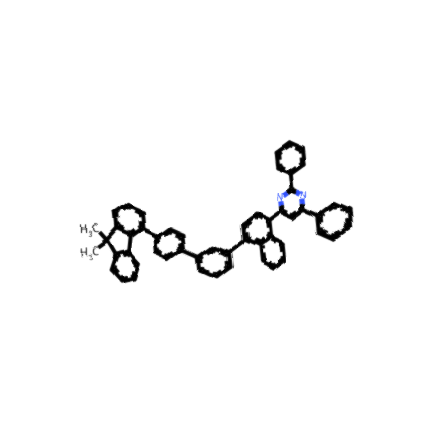 CC1(C)c2ccccc2-c2c(-c3ccc(-c4cccc(-c5ccc(-c6cc(-c7ccccc7)nc(-c7ccccc7)n6)c6ccccc56)c4)cc3)cccc21